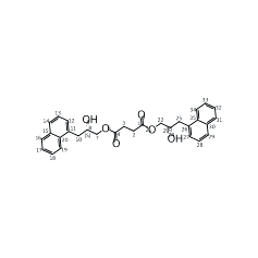 O=C(CCC(=O)OC[C@@H](O)Cc1cccc2ccccc12)OC[C@@H](O)Cc1cccc2ccccc12